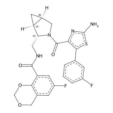 Nc1nc(C(=O)N2C[C@@H]3C[C@@H]3[C@H]2CNC(=O)c2cc(F)cc3c2OCOC3)c(-c2cccc(F)c2)s1